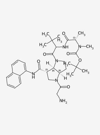 C[C@@H](C(=O)NC(C(=O)N1CC[C@@H]2[C@H]1[C@@H](C(=O)Nc1cccc3ccccc13)CN2C(=O)CN)C(C)(C)C)N(C)C(=O)OC(C)(C)C